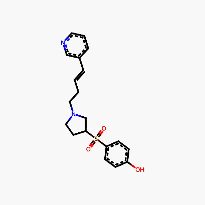 O=S(=O)(c1ccc(O)cc1)C1CCN(CCC=Cc2cccnc2)C1